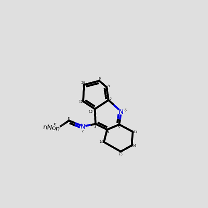 CCCCCCCCCC=Nc1c2c(nc3ccccc13)CCCC2